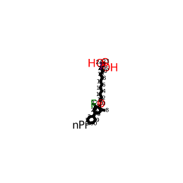 CCCC1CCC(c2cc(C)c(OCCCCCCCCCCCP(=O)(O)O)c(F)c2)CC1